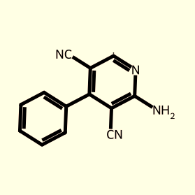 N#Cc1[c]nc(N)c(C#N)c1-c1ccccc1